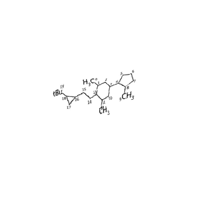 CC1CC(C2CCCC2C)CC(C)C1CCC1CC1C(C)(C)C